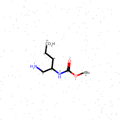 CC(C)(C)OC(=O)NC(CN)CCC(=O)O